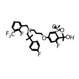 CC(C)(O)c1c(F)cc(OCCCN(Cc2cccc(C(F)(F)F)c2F)CC(C)(C)c2ccc(F)cc2)cc1S(C)(=O)=O